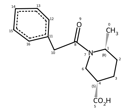 C[C@@H]1CC[C@H](C(=O)O)CN1C(=O)Cc1ccccc1